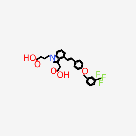 O=C(O)CCCn1cc(CC(=O)O)c2c(/C=C/c3ccc(OCc4cccc(C(F)(F)F)c4)cc3)cccc21